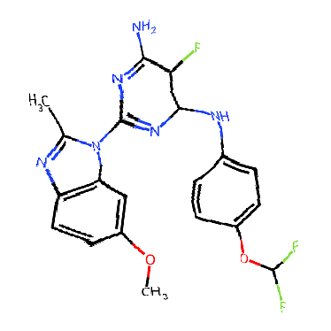 COc1ccc2nc(C)n(C3=NC(Nc4ccc(OC(F)F)cc4)C(F)C(N)=N3)c2c1